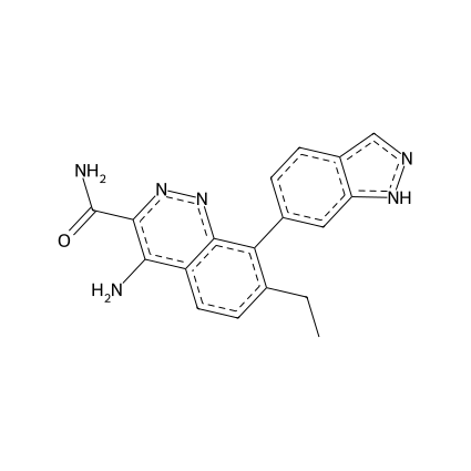 CCc1ccc2c(N)c(C(N)=O)nnc2c1-c1ccc2cn[nH]c2c1